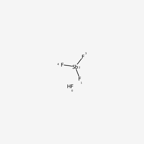 F.[F][Sb]([F])[F]